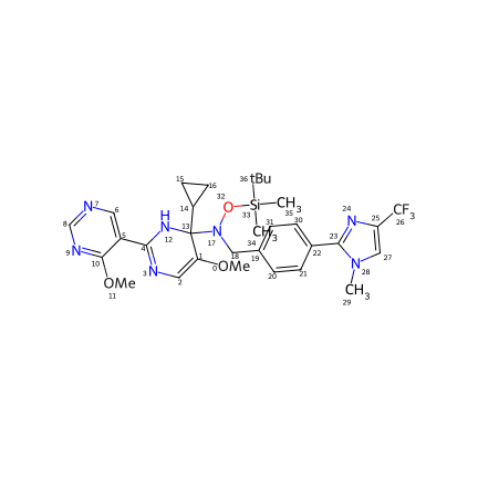 COC1=CN=C(c2cncnc2OC)NC1(C1CC1)N(Cc1ccc(-c2nc(C(F)(F)F)cn2C)cc1)O[Si](C)(C)C(C)(C)C